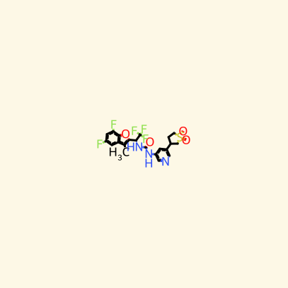 Cc1c([C@@H](NC(=O)Nc2cncc(C3CCS(=O)(=O)C3)c2)C(F)(F)F)oc2c(F)cc(F)cc12